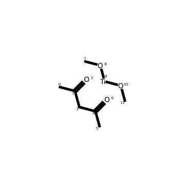 CC(=O)CC(C)=O.C[O][Ti][O]C